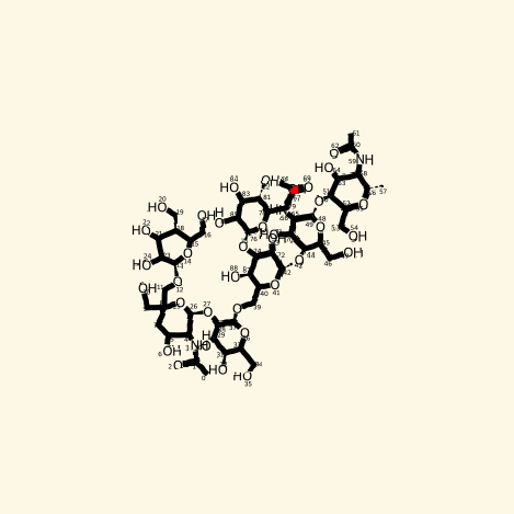 CC(=O)NC1C(O)CC(CO)(CO[C@@H]2OC(CO)[C@H](CO)C(O)C2O)O[C@H]1OC1C(O)[C@H](O)C(CO)O[C@@H]1OCC1O[C@@H](O[C@@H]2C(CO)O[C@@H](O[C@@H]3C(CO)O[C@@H](C)C(NC(C)=O)C3O)C(NC(C)=O)C2O)C(O)C(O[C@H]2OC(CO)[C@@H](O)C(O)C2O)[C@@H]1O